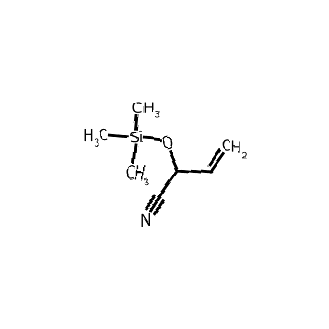 C=CC(C#N)O[Si](C)(C)C